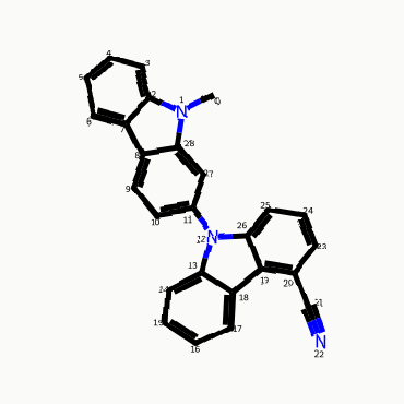 Cn1c2ccccc2c2ccc(-n3c4ccccc4c4c(C#N)cccc43)cc21